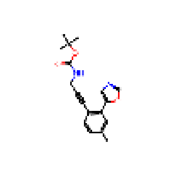 Cc1ccc(C#CCNC(=O)OC(C)(C)C)c(-c2cnco2)c1